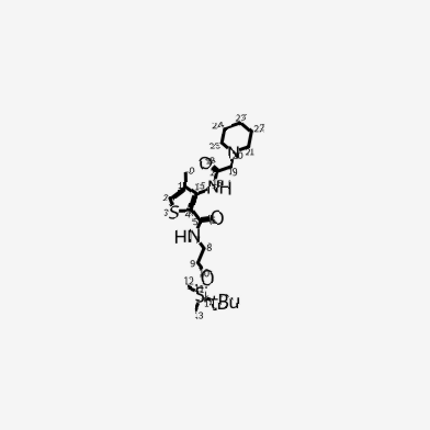 Cc1csc(C(=O)NCCO[Si](C)(C)C(C)(C)C)c1NC(=O)CN1CCCCC1